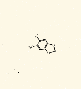 Cc1cc2c([c]c1Cl)OCO2